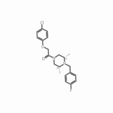 C[C@@H]1CN(C(=O)COc2ccc(Cl)cc2)C[C@H](C)N1Cc1ccc(F)cc1